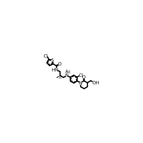 CC(=O)N(C[C@@H](C)CNC(=O)c1ccc(Cl)s1)c1ccc(N2CCCC(CO)C2=O)c(Cl)c1